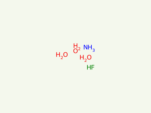 F.N.O.O.O